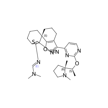 C[C@H](Oc1nccc(-c2noc3c2CCC[C@@]32CCCc3sc(/N=C/N(C)C)c(C#N)c32)n1)[C@@]1(C)CCCN1C